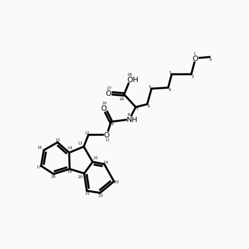 COCCCCCC(NC(=O)OCC1c2ccccc2-c2ccccc21)C(=O)O